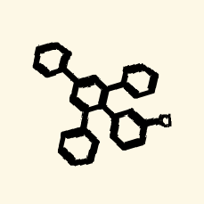 Clc1cccc(-c2c(-c3ccccc3)cc(-c3ccccc3)cc2-c2ccccc2)c1